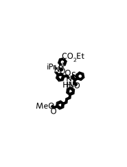 CCOC(=O)C1CCN(C(=O)N(Cc2cccc(C(=O)Nc3sc4c(c3C(=O)Nc3ccc(CCCc5ccc(C(=O)OC)cc5)cc3)CCCC4)c2)C(C)C)CC1